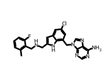 Cc1cccc(F)c1CNCc1cc2cc(Cl)cc(Cn3cnc4c(N)ncnc43)c2[nH]1